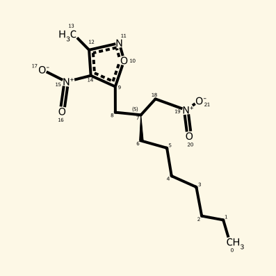 CCCCCCC[C@@H](Cc1onc(C)c1[N+](=O)[O-])C[N+](=O)[O-]